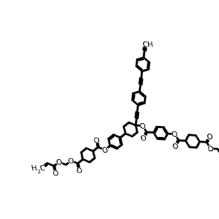 C#Cc1ccc(C#Cc2ccc(C#CC3(OC(=O)c4ccc(OC(=O)C5CCC(C(=O)OCC)CC5)cc4)CCC(c4ccc(OC(=O)C5CCC(C(=O)OCOC(=O)C=C)CC5)cc4)CC3)cc2)cc1